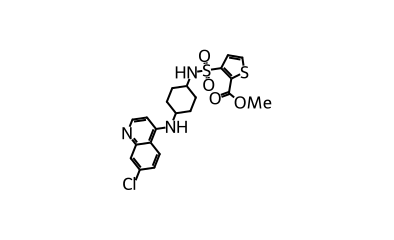 COC(=O)c1sccc1S(=O)(=O)NC1CCC(Nc2ccnc3cc(Cl)ccc23)CC1